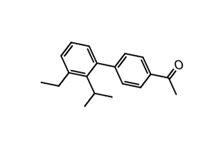 CCc1cccc(-c2ccc(C(C)=O)cc2)c1C(C)C